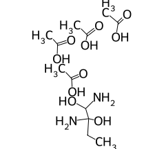 CC(=O)O.CC(=O)O.CC(=O)O.CC(=O)O.CCC(N)(O)C(N)O